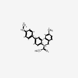 CC(=O)Oc1ccc(CN(C(=O)C(=O)O)c2ccc(-c3ccc(OC(F)(F)F)cc3)cc2)cc1